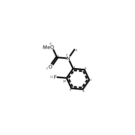 [CH2]OC(=O)N(C)c1ccccc1F